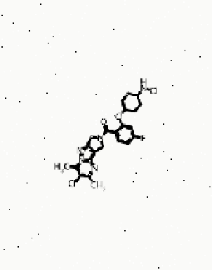 Cc1nc2c3c(nn2c(C)c1Cl)CN(C(=O)c1ccc(F)cc1OC1CCC(NCl)CC1)C3